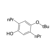 CCCc1cc(OC(C)(C)C)c(CCC)cc1O